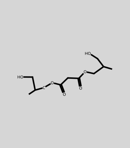 CC(CO)COC(=O)CC(=O)OCC(C)CO